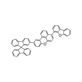 c1ccc2c(c1)-c1ccccc1C21c2ccccc2-c2ccc(-c3ccc4c(c3)-c3cccc5c(-c6cccc7c6oc6ccccc67)ccc(c35)O4)cc21